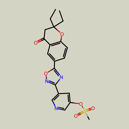 CCC1(CC)CC(=O)c2cc(-c3nc(-c4cncc(OS(C)(=O)=O)c4)no3)ccc2O1